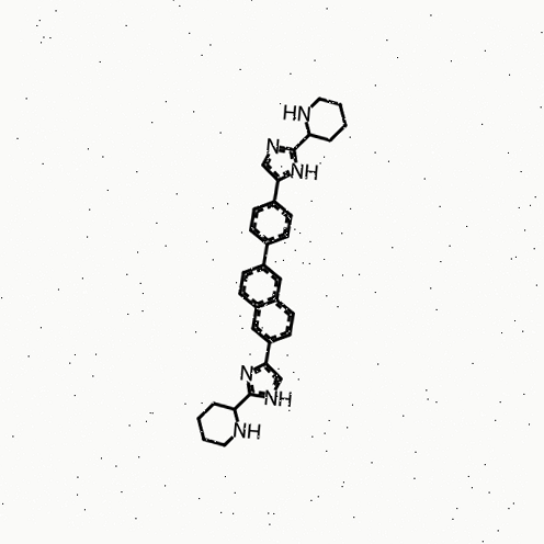 c1cc(-c2cnc(C3CCCCN3)[nH]2)ccc1-c1ccc2cc(-c3c[nH]c(C4CCCCN4)n3)ccc2c1